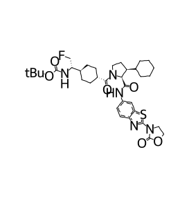 CC(C)(C)OC(=O)N[C@H](CF)[C@H]1CC[C@H](C(=O)N2CC[C@@H](C3CCCCC3)[C@H]2C(=O)Nc2ccc3nc(N4CCOC4=O)sc3c2)CC1